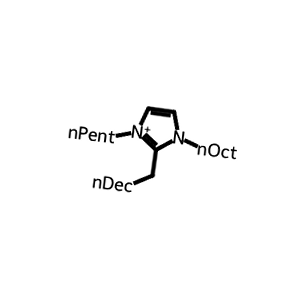 CCCCCCCCCCCc1n(CCCCCCCC)cc[n+]1CCCCC